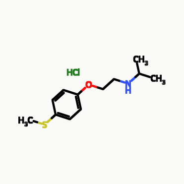 CSc1ccc(OCCNC(C)C)cc1.Cl